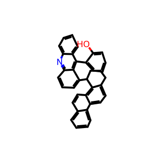 Oc1ccccc1-c1c2ccccc2nc2cccc(C3CCCc4ccc5c(ccc6ccccc65)c43)c12